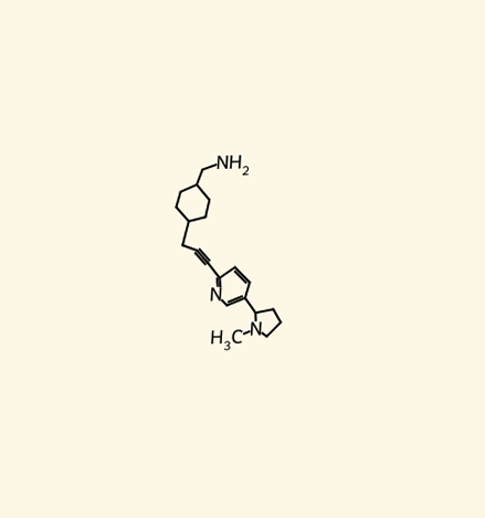 CN1CCCC1c1ccc(C#CCC2CCC(CN)CC2)nc1